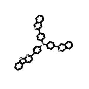 c1ccc2cc(-c3ccc(N(c4ccc(-c5cc6ccccc6cn5)cc4)c4ccc(-c5ccc6c(n5)oc5ccccc56)cc4)cc3)ncc2c1